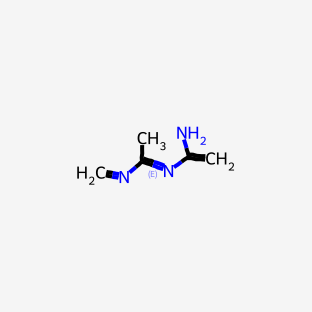 C=N/C(C)=N/C(=C)N